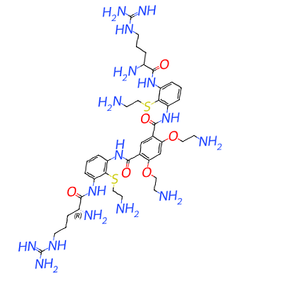 N=C(N)NCCCC(N)C(=O)Nc1cccc(NC(=O)c2cc(C(=O)Nc3cccc(NC(=O)[C@H](N)CCCNC(=N)N)c3SCCN)c(OCCN)cc2OCCN)c1SCCN